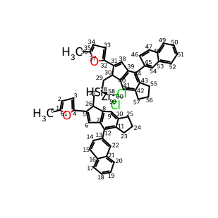 Cc1ccc(C2=Cc3c(cc4c(c3-c3ccc5ccccc5c3)CCC4)C2C[SiH](CC2C(c3ccc(C)o3)=Cc3c2cc2c(c3-c3ccc4ccccc4c3)CCC2)[Zr]([Cl])[Cl])o1